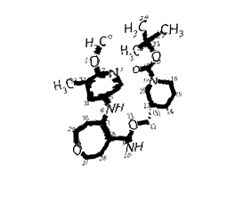 COc1ncc(NC2=C(C(=N)OC[C@H]3CCCN(C(=O)OC(C)(C)C)C3)CCOCC2)cc1C